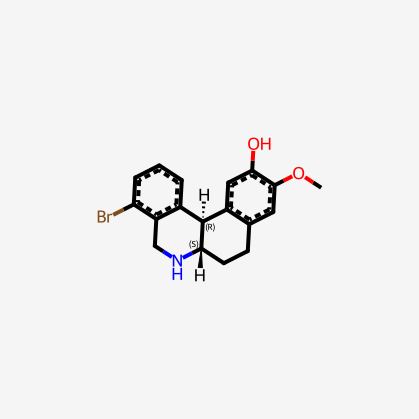 COc1cc2c(cc1O)[C@@H]1c3cccc(Br)c3CN[C@H]1CC2